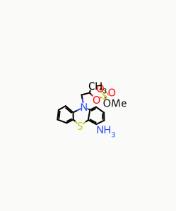 COS(=O)(=O)OC(C)CN1c2ccccc2Sc2ccccc21.N